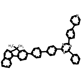 CC1(C)c2cc(-c3ccc(-c4ccc(-c5nc(-c6ccccc6)nc(-c6ccc(-c7ccncc7)cc6)n5)cc4)cc3)ccc2-c2c1ccc1ccccc21